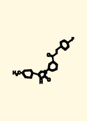 Cc1ccc(-c2cn(-c3cccc(C(=O)/C=C/c4ccc(F)cc4)c3)c(=O)[nH]2)cc1